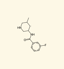 CC1[CH]C(NC(=O)c2cccc(F)c2)CNC1